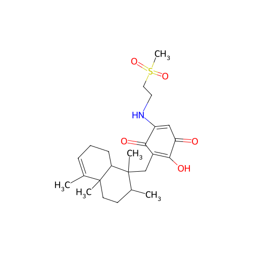 CC1=CCCC2C1(C)CCC(C)C2(C)CC1=C(O)C(=O)C=C(NCCS(C)(=O)=O)C1=O